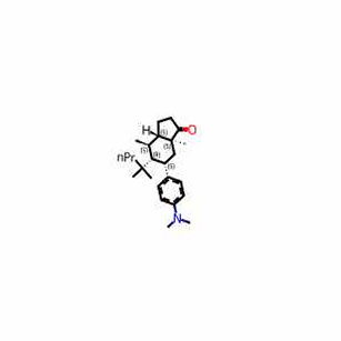 CCCC(C)(C)[C@@H]1[C@@H](C)[C@@H]2CCC(=O)[C@@]2(C)C[C@@H]1c1ccc(N(C)C)cc1